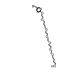 OCCCCOCCOCCOCCOCCOCCCCOCCOc1ccc(Br)cn1